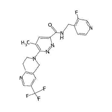 Cc1cc(C(=O)NCc2ccncc2F)nnc1N1CCc2ncc(C(F)(F)F)cc2C1